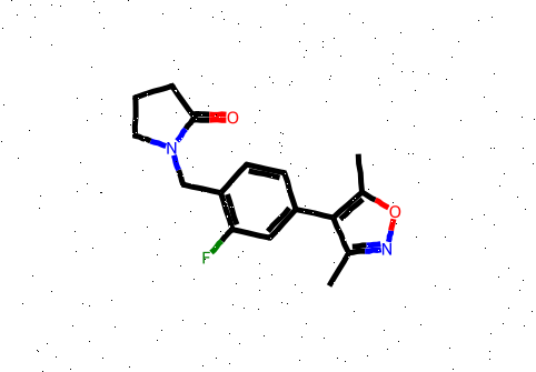 Cc1noc(C)c1-c1ccc(CN2CCCC2=O)c(F)c1